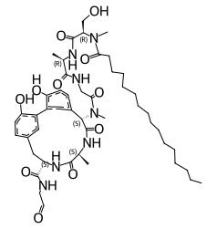 CCCCCCCCCCCCCCCC(=O)N(C)[C@H](CO)C(=O)N[C@H](C)C(=O)NCC(=O)N(C)[C@@H]1C(=O)N[C@@H](C)C(=O)N[C@H](C(=O)NCC=O)Cc2ccc(O)c(c2)-c2cc1ccc2O